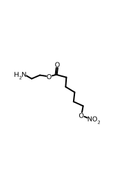 NCCOC(=O)CCCCCO[N+](=O)[O-]